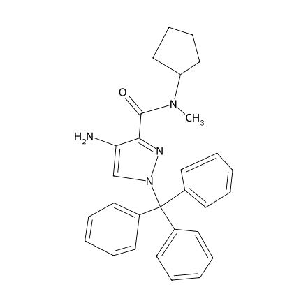 CN(C(=O)c1nn(C(c2ccccc2)(c2ccccc2)c2ccccc2)cc1N)C1CCCC1